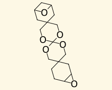 C1C2CC3(COC4(OC3)OCC3(CCC5OC5C3)CO4)CC1O2